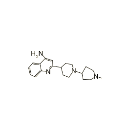 CN1CCC(N2CCC(c3cc(N)c4ccccc4n3)CC2)CC1